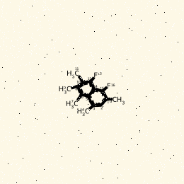 Cc1cc(C)c2c(C)c(C)c(C)c(F)c2c1F